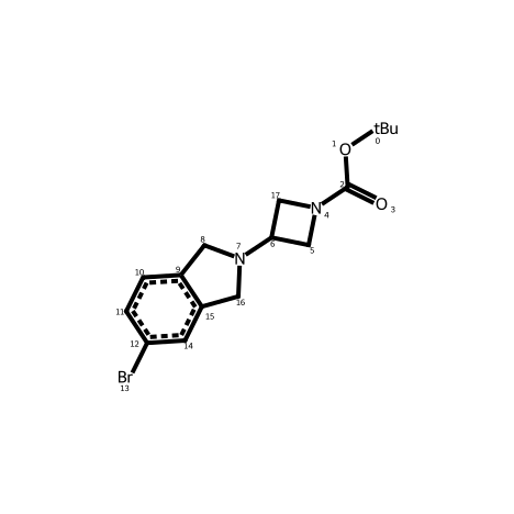 CC(C)(C)OC(=O)N1CC(N2Cc3ccc(Br)cc3C2)C1